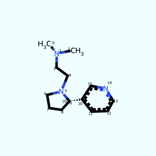 CN(C)CCN1CCC[C@H]1c1cccnc1